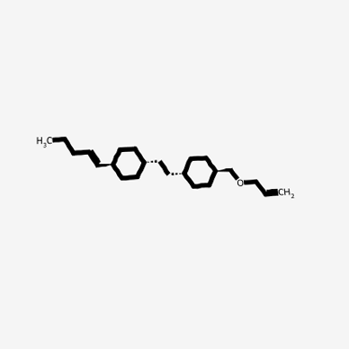 C=CCOC[C@H]1CC[C@H](CC[C@H]2CC[C@H](/C=C/CCC)CC2)CC1